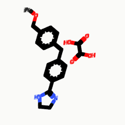 CC(C)OCc1ccc(Cc2ccc(C3=NCCN3)cc2)cc1.O=C(O)C(=O)O